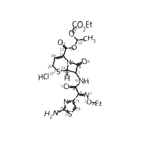 CCON=C(C(=O)NC1C(=O)N2C(C(=O)OC(C)OC(=O)OCC)=CCS[C@@H]12)c1csc(N)n1.Cl